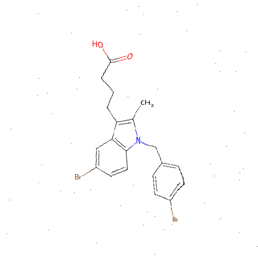 Cc1c(CCCC(=O)O)c2cc(Br)ccc2n1Cc1ccc(Br)cc1